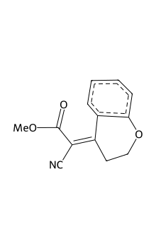 COC(=O)/C(C#N)=C1/CCOc2ccccc21